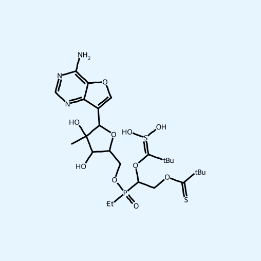 [CH2][CH]P(=O)(OCC1OC(c2coc3c(N)ncnc23)C(C)(O)C1O)C(COC(=S)C(C)(C)C)OC(=S(O)O)C(C)(C)C